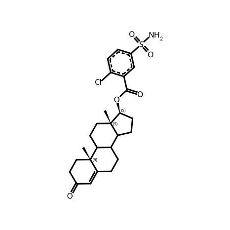 C[C@]12CCC(=O)C=C1CCC1C2CC[C@@]2(C)C1CC[C@@H]2OC(=O)c1cc(S(N)(=O)=O)ccc1Cl